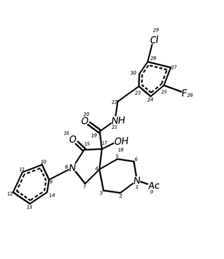 CC(=O)N1CCC2(CC1)CN(c1ccccc1)C(=O)C2(O)C(=O)NCc1cc(F)cc(Cl)c1